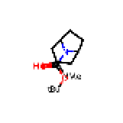 CNC1(O)CC2CCC(C1)N2C(=O)OC(C)(C)C